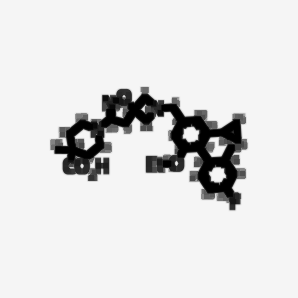 CCOc1cc(CN2CC3(CC(N4CCC(C)(C(=O)O)CC4)=NO3)C2)cc(C2CC2)c1-c1ccc(F)cc1C